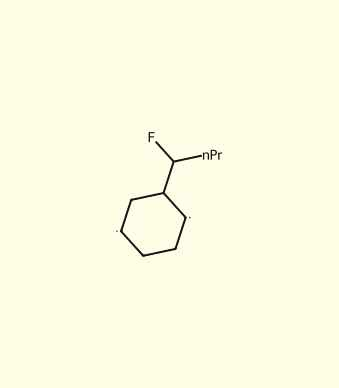 CCCC(F)C1[CH]CC[CH]C1